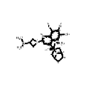 CN(C)C1CN(c2cc(N3CC4CCC(C3)N4C(=O)OC(C)(C)C)c3cc(Cl)c(Br)c(F)c3n2)C1